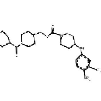 O=C(NCC1CCN(C(=O)C2CCCCC2)CC1)N1CCC(Nc2ccc([N+](=O)[O-])c(C(F)(F)F)c2)CC1